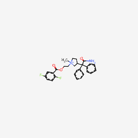 C[N+]1(CCOC(=O)c2cc(F)ccc2F)CCC(C(C(N)=O)(c2ccccc2)c2ccccc2)C1